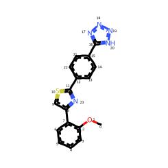 COc1ccccc1-c1csc(-c2ccc(-c3nnn[nH]3)cc2)n1